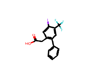 O=C(O)Cc1cc(I)c(C(F)(F)F)cc1-c1ccccc1